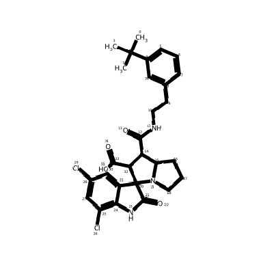 CC(C)(C)c1cccc(CCNC(=O)C2C3CCCN3C3(C(=O)Nc4c(Cl)cc(Cl)cc43)C2C(=O)O)c1